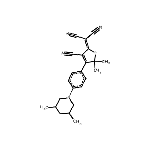 CC1CC(C)CN(c2ccc(C3=C(C#N)C(=C(C#N)C#N)OC3(C)C)cc2)C1